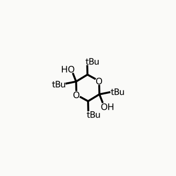 CC(C)(C)C1OC(O)(C(C)(C)C)C(C(C)(C)C)OC1(O)C(C)(C)C